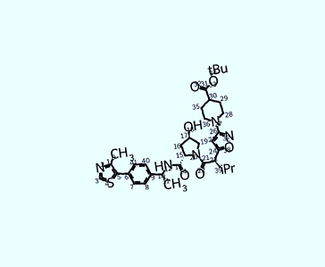 Cc1ncsc1-c1ccc([C@H](C)NC(=O)[C@@H]2C[C@@H](O)CN2C(=O)[C@@H](c2cc(N3CCC(C(=O)OC(C)(C)C)CC3)no2)C(C)C)cc1